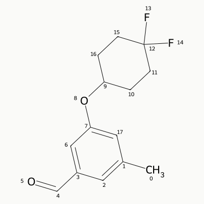 Cc1cc(C=O)cc(OC2CCC(F)(F)CC2)c1